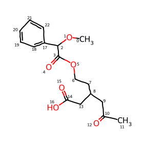 COC(C(=O)OCCC(CC(C)=O)CC(=O)O)c1ccccc1